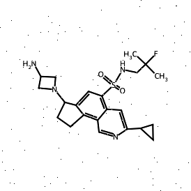 CC(C)(F)CNS(=O)(=O)c1cc2c(c3cnc(C4CC4)cc13)CCC2N1CC(N)C1